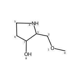 COCC1NCCC1O